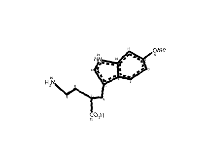 COc1ccc2c(CC(CCN)C(=O)O)c[nH]c2c1